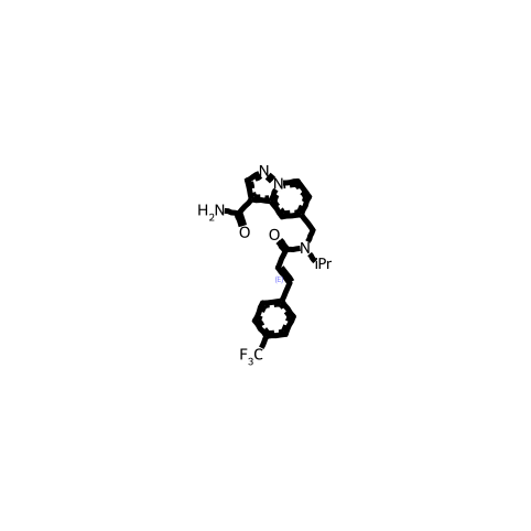 CC(C)N(Cc1ccn2ncc(C(N)=O)c2c1)C(=O)/C=C/c1ccc(C(F)(F)F)cc1